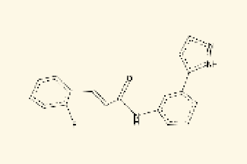 O=C(C=Cc1ccccc1F)Nc1cccc(-c2ccn[nH]2)c1